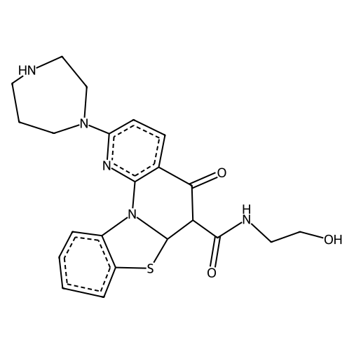 O=C(NCCO)C1C(=O)c2ccc(N3CCCNCC3)nc2N2c3ccccc3SC12